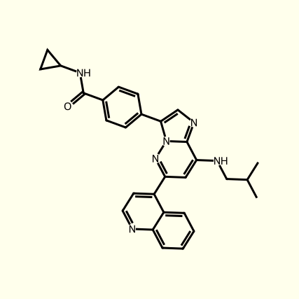 CC(C)CNc1cc(-c2ccnc3ccccc23)nn2c(-c3ccc(C(=O)NC4CC4)cc3)cnc12